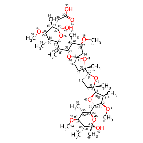 CO[C@@H]1[C@H](C)[C@H]([C@]2(C)CC[C@H]([C@]3(C)CC[C@]4(C[C@H](OC)[C@@H](C)[C@@H]([C@@H](C)[C@H]5O[C@](O)(CC(=O)O)[C@H](C)[C@@H](OC)[C@H]5C)O4)O3)O2)O[C@H]1[C@H]1O[C@](C)(O)[C@H](C)[C@@H](OC)[C@@H]1C